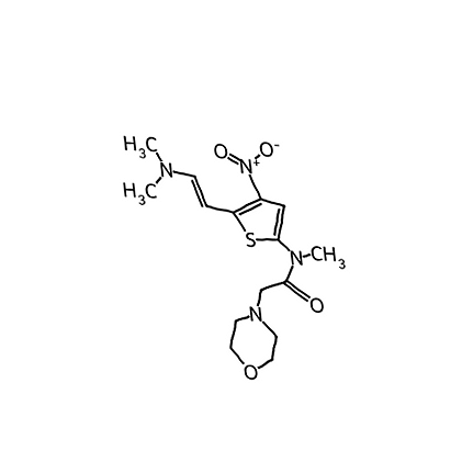 CN(C)/C=C/c1sc(N(C)C(=O)CN2CCOCC2)cc1[N+](=O)[O-]